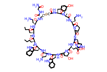 CCCC[C@H]1C(=O)N(C)[C@@H](CCCC)C(=O)N[C@@H](CCN)C(=O)N[C@H](C(=O)NCC(N)=O)CSCC(=O)N[C@@H](Cc2ccc(O)cc2)C(=O)N(C)[C@@H](C)C(=O)N[C@@H](CCN)C(=O)N2CCC[C@H]2C(=O)N[C@@H](Cc2c[nH]cn2)C(=O)N[C@@H](CCC(=O)O)C(=O)N2C[C@H](O)C[C@H]2C(=O)N[C@@H](Cc2c[nH]c3ccccc23)C(=O)N[C@@H](CCN)C(=O)N[C@@H](Cc2c[nH]c3ccccc23)C(=O)N1C